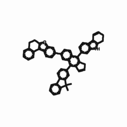 CC1(C)c2ccccc2-c2ccc(-c3c4c(c(-c5ccc6c7c([pH]c6c5)CCC=C7)c5ccc(-c6ccc7c8c(oc7c6)CCc6ccccc6-8)cc35)CC=C4)cc21